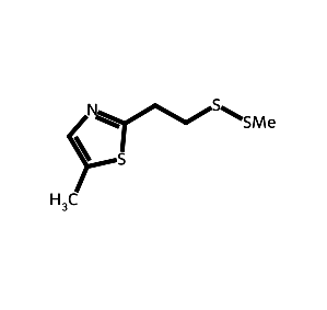 CSSCCc1ncc(C)s1